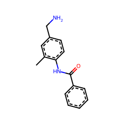 Cc1cc(CN)ccc1NC(=O)c1ccccc1